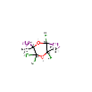 FC(F)(F)C1(F)OC(F)(F)C(P)(C(F)(F)F)OC1(F)P